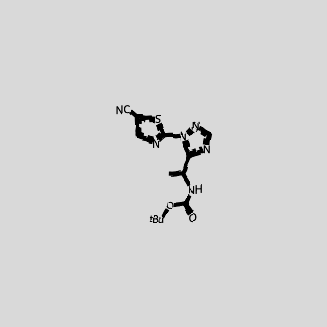 CC(NC(=O)OC(C)(C)C)c1ncnn1-c1ncc(C#N)s1